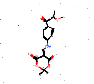 COC(C)C(=O)c1ccc(NC=C2C(=O)OC(C)(C)OC2=O)cc1